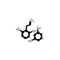 C=CCc1c(O)cccc1O.Oc1cccc(O)c1